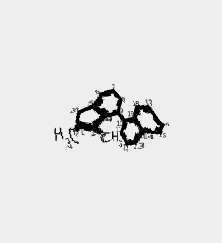 CC1=C(C)c2c(cccc2-c2cccc3ccccc23)[CH]1